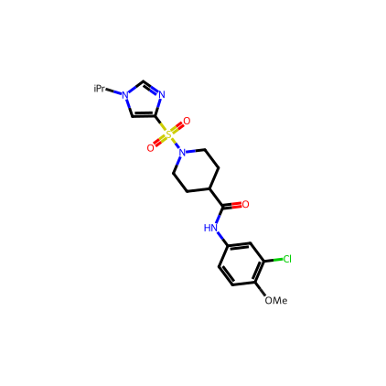 COc1ccc(NC(=O)C2CCN(S(=O)(=O)c3cn(C(C)C)cn3)CC2)cc1Cl